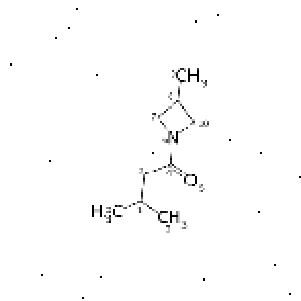 CC(C)CC(=O)N1CC(C)C1